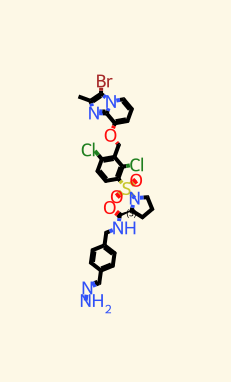 Cc1nc2c(OCc3c(Cl)ccc(S(=O)(=O)N4CCC[C@H]4C(=O)NCc4ccc(C=NN)cc4)c3Cl)cccn2c1Br